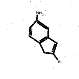 CC(=O)C1=Cc2cc(N)ccc2C1